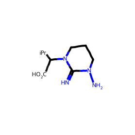 CC(C)C(C(=O)O)N1CCCN(N)C1=N